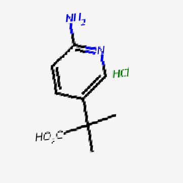 CC(C)(C(=O)O)c1ccc(N)nc1.Cl